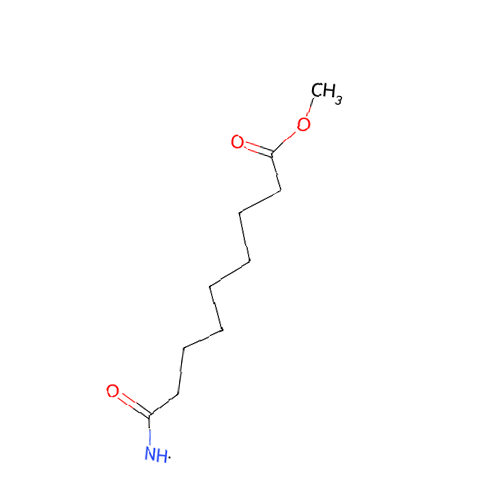 COC(=O)CCCCCCCC([NH])=O